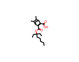 CCCCCC(CC)(CC)OC(=O)C1=C(C(=O)O)C2CC1C(C)C2C